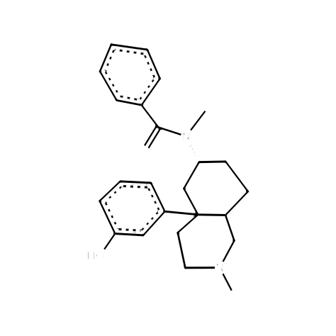 CN1CCC2(c3cccc(O)c3)C[C@H](N(C)C(=O)c3ccccc3)CCC2C1